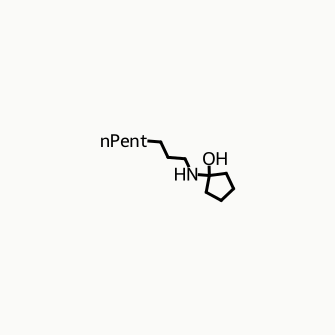 CCCCCCCCNC1(O)CCCC1